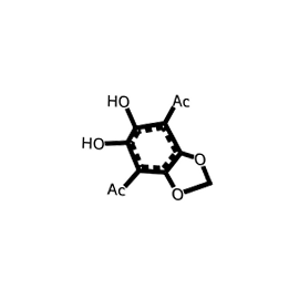 CC(=O)c1c(O)c(O)c(C(C)=O)c2c1OCO2